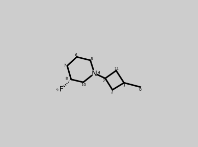 CC1CC(N2CCC[C@@H](F)C2)C1